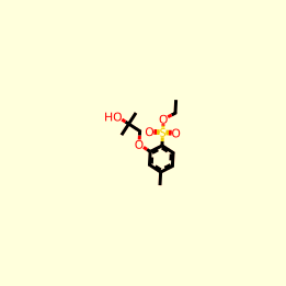 CCOS(=O)(=O)c1ccc(C)cc1OCC(C)(C)O